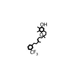 C/C(=C\CCC1(C)CCc2cc(O)c(C)c(C)c2O1)CCc1cccc(C(F)(F)F)c1